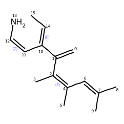 C=C(/C(C)=C(/C)C=C(C)C)C(/C=C\N)=C/C